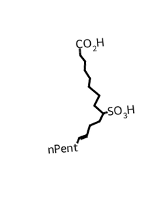 CCCCC/C=C/CCC(CCCCCCCC(=O)O)S(=O)(=O)O